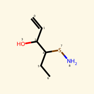 C=CC(O)C(CC)SN